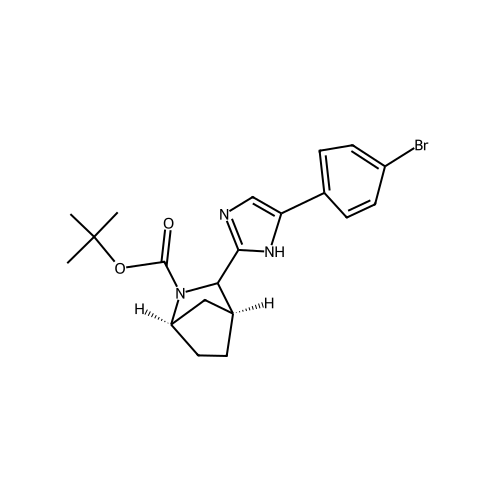 CC(C)(C)OC(=O)N1C(c2ncc(-c3ccc(Br)cc3)[nH]2)[C@H]2CC[C@@H]1C2